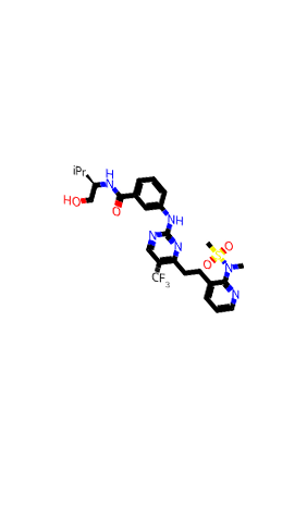 CC(C)[C@H](CO)NC(=O)c1cccc(Nc2ncc(C(F)(F)F)c(CCc3cccnc3N(C)S(C)(=O)=O)n2)c1